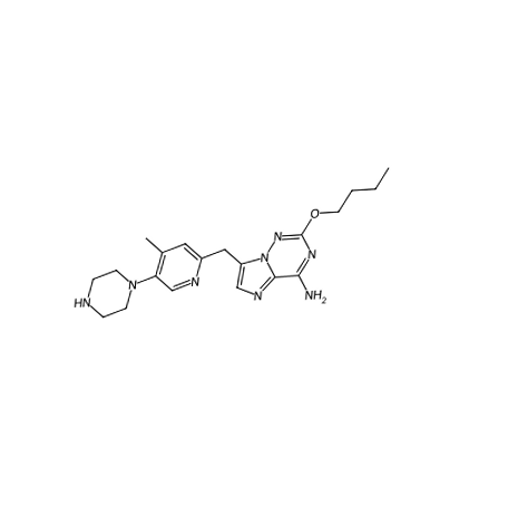 CCCCOc1nc(N)c2ncc(Cc3cc(C)c(N4CCNCC4)cn3)n2n1